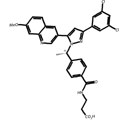 COc1ccc2cc(-c3cc(-c4cc(Cl)cc(Cl)c4)nn3[C@@H](C)c3ccc(C(=O)NCCC(=O)O)cc3)cnc2c1